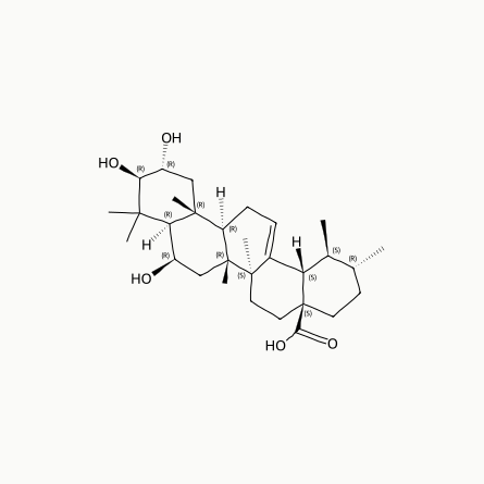 C[C@H]1[C@H](C)CC[C@]2(C(=O)O)CC[C@]3(C)C(=CC[C@@H]4[C@@]5(C)C[C@@H](O)[C@H](O)C(C)(C)[C@@H]5[C@H](O)C[C@]43C)[C@H]12